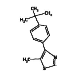 Cc1s[c]nc1-c1ccc(C(C)(C)C)cc1